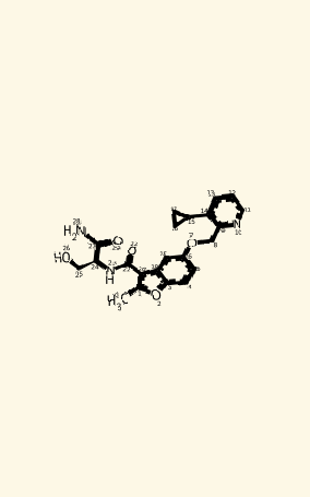 Cc1oc2ccc(OCc3ncccc3C3CC3)cc2c1C(=O)N[C@@H](CO)C(N)=O